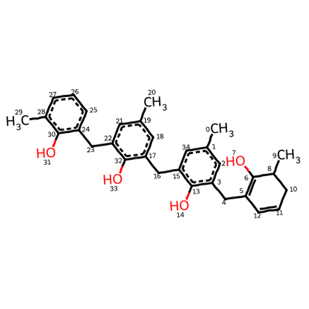 Cc1cc(CC2=C(O)C(C)CC=C2)c(O)c(Cc2cc(C)cc(Cc3cccc(C)c3O)c2O)c1